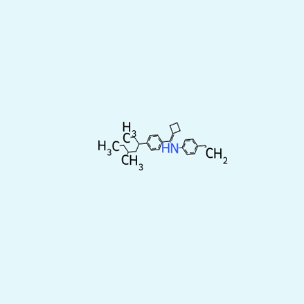 C=Cc1ccc(NC(=C2CCC2)c2ccc(C(CC)CC(C)CC)cc2)cc1